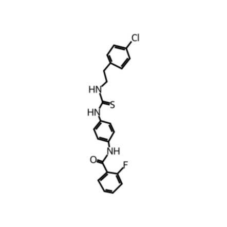 O=C(Nc1ccc(NC(=S)NCCc2ccc(Cl)cc2)cc1)c1ccccc1F